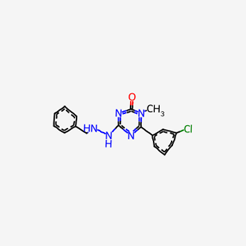 Cn1c(-c2cccc(Cl)c2)nc(NNCc2ccccc2)nc1=O